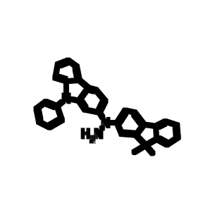 CC1(C)c2ccccc2-c2ccc(N(N)c3ccc4c5ccccc5n(-c5ccccc5)c4c3)cc21